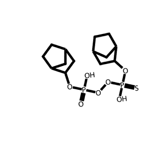 O=P(O)(OOP(O)(=S)OC1CC2CCC1C2)OC1CC2CCC1C2